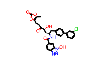 Cc1oc(=O)oc1CCC(=O)[C@H](O)C[C@@H](Cc1ccc(-c2cccc(Cl)c2)cc1)NC(=O)c1ccc2nnn(O)c2c1